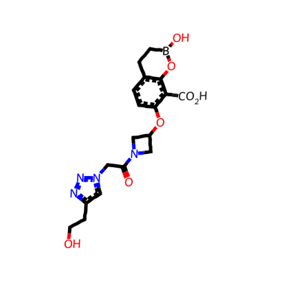 O=C(O)c1c(OC2CN(C(=O)Cn3cc(CCO)nn3)C2)ccc2c1OB(O)CC2